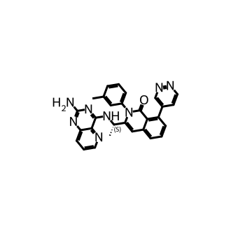 Cc1cccc(-n2c([C@H](C)Nc3nc(N)nc4cccnc34)cc3cccc(-c4ccnnc4)c3c2=O)c1